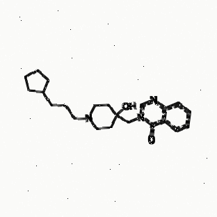 O=c1c2ccccc2ncn1CC1(O)CCN(CCCC2CCCC2)CC1